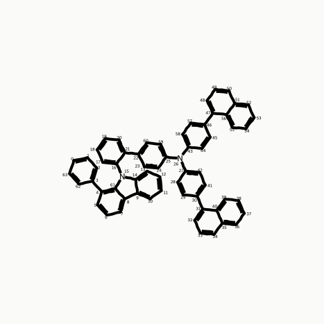 c1ccc(-c2cccc3c4ccccc4n(-c4ccccc4-c4ccc(N(c5ccc(-c6cccc7ccccc67)cc5)c5ccc(-c6cccc7ccccc67)cc5)cc4)c23)cc1